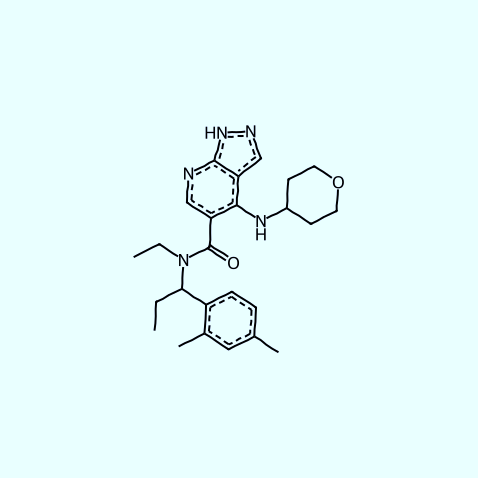 CCC(c1ccc(C)cc1C)N(CC)C(=O)c1cnc2[nH]ncc2c1NC1CCOCC1